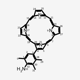 Cc1cc(C2=CC3=CC4=NC(=CC5=NC(=CC6=NC(=CC2=N3)C=C6)C=C5)C=C4)c(C)c(C)c1N